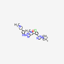 CN1CCC(c2ccc(Nc3ncc4cc(-c5cc(-c6nccc(N(C)C)n6)ccc5Cl)c(=O)n(C)c4n3)cc2)CC1